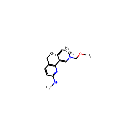 C/C=C\C(=C/N(C)COC)c1nc(NC)ccc1CC